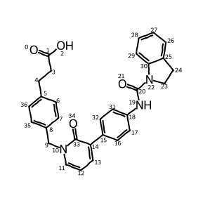 O=C(O)CCc1ccc(Cn2cccc(-c3ccc(NC(=O)N4CCc5ccccc54)cc3)c2=O)cc1